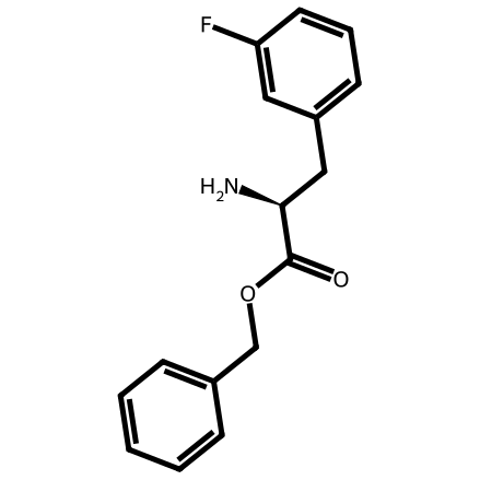 N[C@@H](Cc1cccc(F)c1)C(=O)OCc1ccccc1